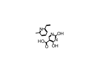 C=Cc1cccc(C)n1.O=C(O)c1cnc(O)nc1O